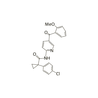 COc1ccccc1C(=O)c1ccc(NC(=O)C2(c3ccc(Cl)cc3)CC2)nc1